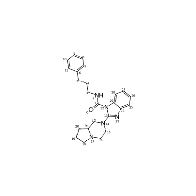 O=C(NCCCc1ccccc1)n1c(N2CCN3CCCC3C2)nc2ccccc21